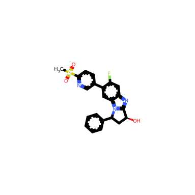 CS(=O)(=O)c1ccc(-c2cc3c(cc2F)nc2n3C(c3ccccc3)C[C@@H]2O)cn1